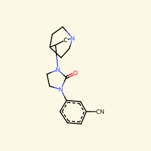 N#Cc1cccc(N2CCN(C3CN4CCC3CC4)C2=O)c1